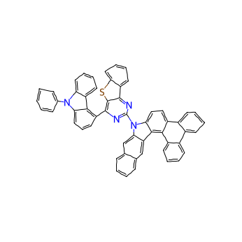 c1ccc(-n2c3ccccc3c3c(-c4nc(-n5c6cc7ccccc7cc6c6c7c8ccccc8c8ccccc8c7ccc65)nc5c4sc4ccccc45)cccc32)cc1